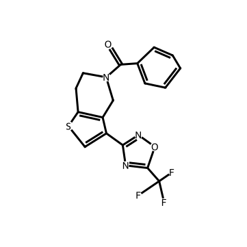 O=C(c1ccccc1)N1CCc2scc(-c3noc(C(F)(F)F)n3)c2C1